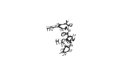 C#Cc1cc(F)c(=O)n(CC(=O)c2cnn(Cc3ccccc3)c2C)c1